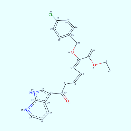 C=C(OCC)/C(=C\C=C/CC(=O)c1c[nH]c2ncccc12)OCc1ccc(Cl)cc1